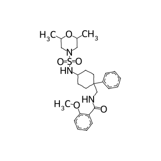 COc1ccccc1C(=O)NCC1(c2ccccc2)CCC(NS(=O)(=O)N2CC(C)OC(C)C2)CC1